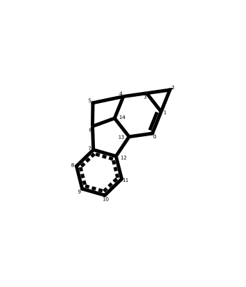 C1=C2CC2C2CC3c4ccccc4C1C32